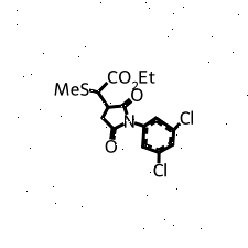 CCOC(=O)C(SC)C1CC(=O)N(c2cc(Cl)cc(Cl)c2)C1=O